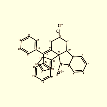 [Cl-].[Cl-].[Zr+2][CH]1C2C=CC=CC2C2CCCC(=C(c3ccccc3)c3ccccc3)C12C1=CC=CC1